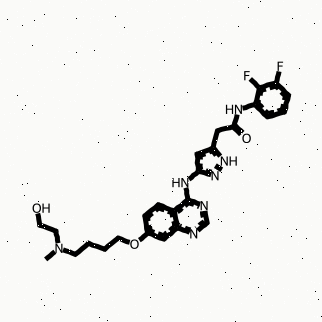 CN(CCO)CCCCOc1ccc2c(Nc3cc(CC(=O)Nc4cccc(F)c4F)[nH]n3)ncnc2c1